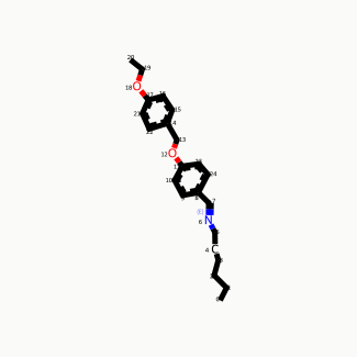 CCCCCC/N=C/c1ccc(OCc2ccc(OCC)cc2)cc1